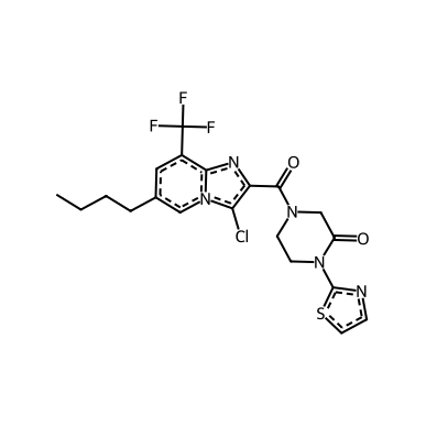 CCCCc1cc(C(F)(F)F)c2nc(C(=O)N3CCN(c4nccs4)C(=O)C3)c(Cl)n2c1